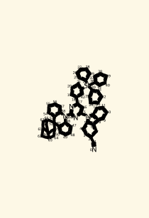 N#Cc1ccc2c(c1)c1ccccc1n2-c1cc(-c2cccc([Si](c3ccccc3)(c3ccccc3)c3ccccc3)c2)nc(N2c3ccccc3C3(c4ccccc42)C2CC4CC(C2)CC3C4)n1